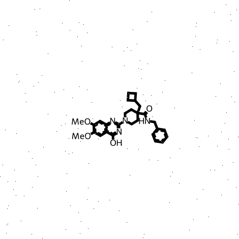 COc1cc2nc(N3CCC(CC4CCC4)(C(=O)NCc4ccccc4)CC3)nc(O)c2cc1OC